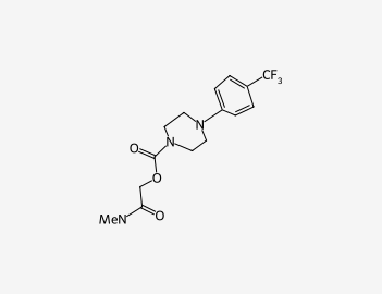 CNC(=O)COC(=O)N1CCN(c2ccc(C(F)(F)F)cc2)CC1